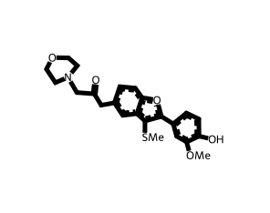 COc1cc(-c2oc3ccc(CC(=O)CN4CCOCC4)cc3c2SC)ccc1O